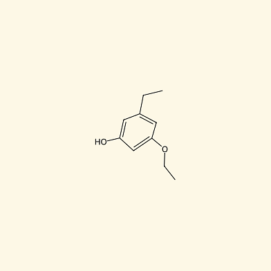 CCOc1cc(O)cc(CC)c1